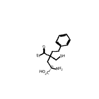 CCC(=O)C(CS)(CCc1ccccc1)C[C@H](N)C(=O)O